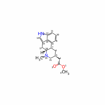 COC(=O)C[C@@H]1CC2c3cccc4[nH]cc(c34)C[C@H]2N(C)C1